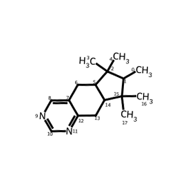 CC1C(C)(C)C2Cc3cncnc3CC2C1(C)C